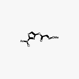 CON=CC(=O)Oc1csc(N(Cl)C(C)=O)n1